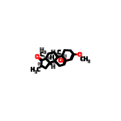 COC1=CC2=CC[C@H]3[C@@H]4C[C@@H](C)C(=O)[C@@]4(C)CC[C@]3(O)[C@@]2(C)CC1